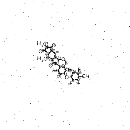 Cc1c(F)c(F)c(Oc2c(F)c(F)c(-n3c(=O)c4cc5c(=O)n(C)c(=O)c5c(C)c4c3=O)c(F)c2F)c(F)c1F